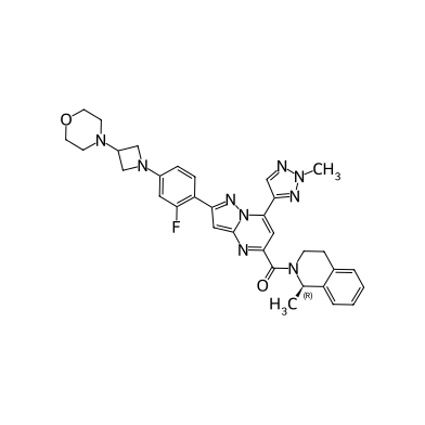 C[C@@H]1c2ccccc2CCN1C(=O)c1cc(-c2cnn(C)n2)n2nc(-c3ccc(N4CC(N5CCOCC5)C4)cc3F)cc2n1